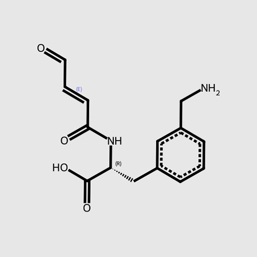 NCc1cccc(C[C@@H](NC(=O)/C=C/C=O)C(=O)O)c1